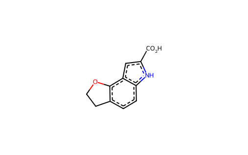 O=C(O)c1cc2c3c(ccc2[nH]1)CCO3